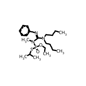 CCCCN(CCCC)C(=Nc1ccccc1)N(C)P(=O)(OCC)SC(C)C